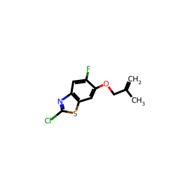 C=C(C)COc1cc2sc(Cl)nc2cc1F